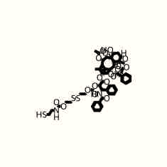 CC(=O)O[C@H]1C(=O)[C@@]2(C)[C@H]([C@H](OC(=O)c3ccccc3)[C@]3(O)C[C@H](OC(=O)[C@H](OC(=O)OCCSSCCOC(=O)NCCS)[C@@H](NC(=O)c4ccccc4)c4ccccc4)C(C)=C1C3(C)C)[C@]1(OC(C)=O)CO[C@@H]1C[C@@H]2O